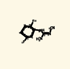 N#C/N=C(/N)Nc1cc(F)ccc1F